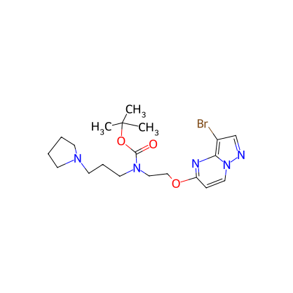 CC(C)(C)OC(=O)N(CCCN1CCCC1)CCOc1ccn2ncc(Br)c2n1